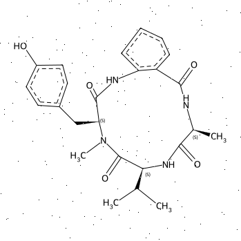 CC(C)[C@@H]1NC(=O)[C@H](C)NC(=O)c2ccccc2NC(=O)[C@H](Cc2ccc(O)cc2)N(C)C1=O